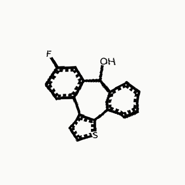 OC1c2cc(F)ccc2-c2ccsc2-c2ccccc21